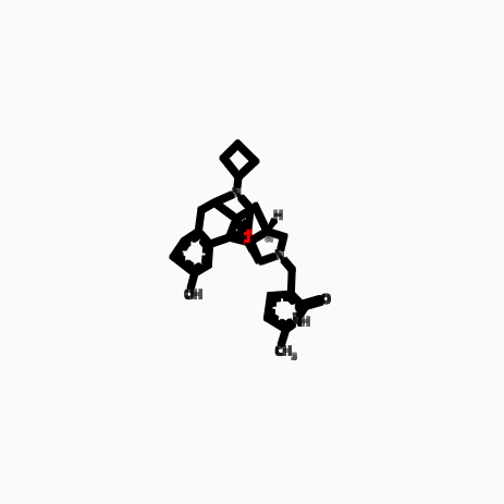 Cc1ccc(CN2C[C@H]3CC45CCC2C3C42CCN(C3CCC3)C5Cc3ccc(O)cc32)c(=O)[nH]1